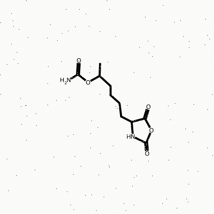 CC(CCCCC1NC(=O)OC1=O)OC(N)=O